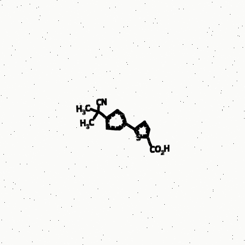 CC(C)(C#N)c1ccc(-c2ccc(C(=O)O)s2)cc1